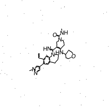 C=Cc1cc2c(cc1-c1cnn(C)c1)CCCN2C(=N)C1=C(NC2CCOCC2)CCN(C(=O)NC)C1